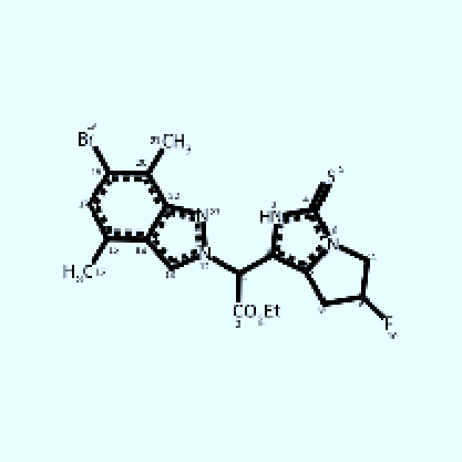 CCOC(=O)C(c1[nH]c(=S)n2c1CC(F)C2)n1cc2c(C)cc(Br)c(C)c2n1